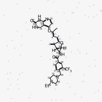 C=C1/C(=C\C=C(/C)Oc2ccnc3c2CNC(=O)N3)O[C@@H]2[C@@H](NC(=O)c3ccc(CN4CCN(CC)CC4)c(C(F)(F)F)c3)[C@H]12